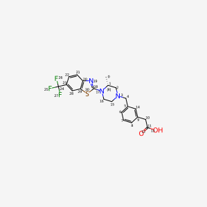 C[C@@H]1CN(Cc2cccc(CC(=O)O)c2)CCN1c1nc2ccc(C(F)(F)F)cc2s1